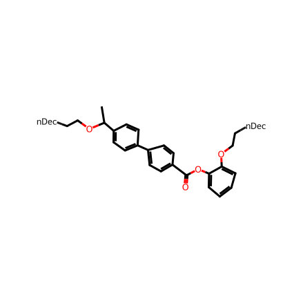 CCCCCCCCCCCCOc1ccccc1OC(=O)c1ccc(-c2ccc(C(C)OCCCCCCCCCCCC)cc2)cc1